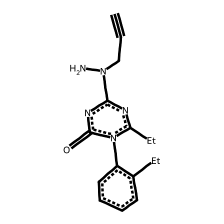 C#CCN(N)c1nc(CC)n(-c2ccccc2CC)c(=O)n1